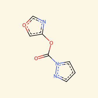 O=C(Oc1cocn1)n1cccn1